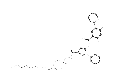 O=C(NCC1(O)CCN(CCCCCCCCBr)CC1)c1cc(NC(=O)c2cc(-c3ccccn3)c(Cl)cc2Cl)n(-c2ccccc2)n1